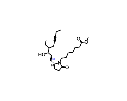 CCC#CCC(CC)C(O)/C=C/[C@H]1CCC(=O)N1CCCCCCC(=O)OC